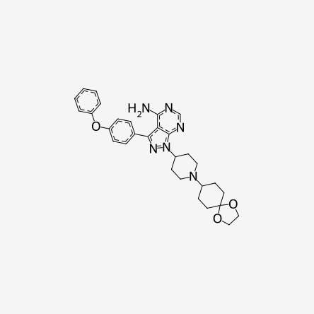 Nc1ncnc2c1c(-c1ccc(Oc3ccccc3)cc1)nn2C1CCN(C2CCC3(CC2)OCCO3)CC1